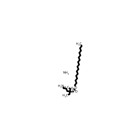 CCCCCCCCCCCCCCCCCCCOS(=O)(=O)OC(CC)(CC)CCCN.N